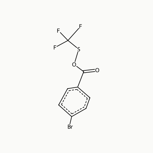 O=C(OSC(F)(F)F)c1ccc(Br)cc1